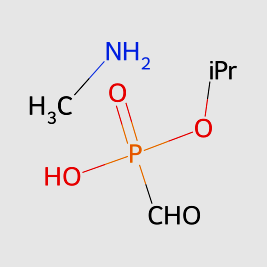 CC(C)OP(=O)(O)C=O.CN